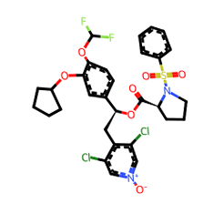 O=C(O[C@@H](Cc1c(Cl)c[n+]([O-])cc1Cl)c1ccc(OC(F)F)c(OC2CCCC2)c1)[C@@H]1CCCN1S(=O)(=O)c1ccccc1